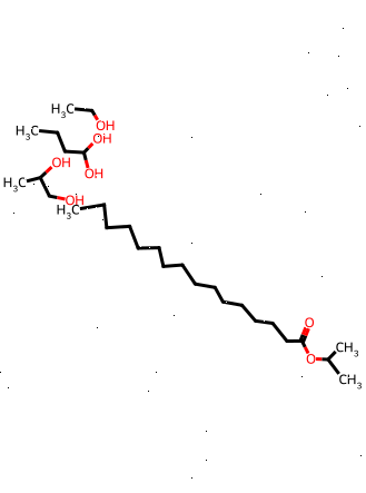 CC(O)CO.CCCC(O)O.CCCCCCCCCCCCCCCC(=O)OC(C)C.CCO